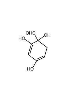 O=CC1(O)CC=C(O)C=C1O